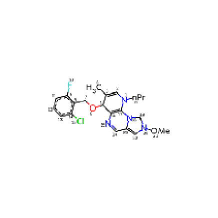 CCCN1C=C(C)C(OCc2c(F)cccc2Cl)C2=C1N1CN(OC)C=C1C=N2